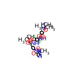 CC(C)OC(=O)[C@H](Cc1ccc(-n2c(=O)c3ccncc3n(C)c2=O)cc1)NC(=O)c1cc(F)c(NS(=O)(=O)c2ccc(NC(=O)C(C)(C)C)cc2)cc1F